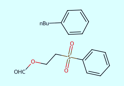 CCCCc1ccccc1.O=COCCS(=O)(=O)c1ccccc1